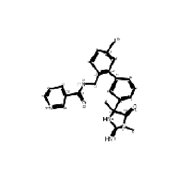 CN1C(=N)NC(C)(c2cccc(-c3cc(I)ccc3CNC(=O)c3cccnc3)c2)C1=O